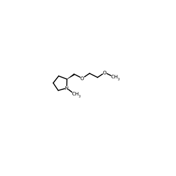 COCCOC[C@@H]1CCCN1C